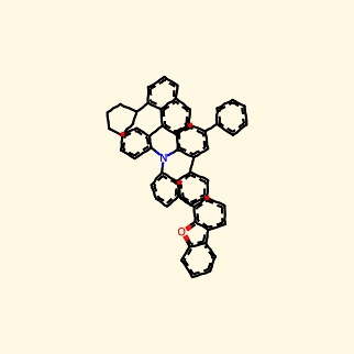 c1ccc(-c2ccc(N(c3cccc(-c4cccc5c4oc4ccccc45)c3)c3ccccc3-c3cccc4cccc(C5CCCCC5)c34)c(-c3ccccc3)c2)cc1